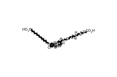 O=C(O)CCCCCCCCCCCCCCCOc1cc(Cl)c(S(=O)(=O)Nc2ncc(C(=O)NCCOCCOCC(=O)NCCOCCOCC(=O)O)cn2)cc1Cl